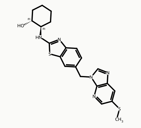 CSc1cnc2c(c1)ncn2Cc1ccc2nc(N[C@@H]3CCCC[C@H]3O)sc2c1